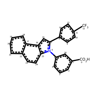 O=C(O)c1cccc(-n2c(-c3ccc(C(F)(F)F)cc3)cc3c4ccccc4ccc32)c1